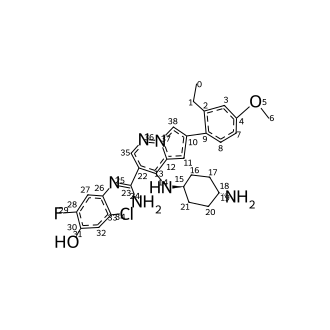 CCc1cc(OC)ccc1-c1cc2c(N[C@H]3CC[C@H](N)CC3)c(/C(N)=N/c3cc(F)c(O)cc3Cl)cnn2c1